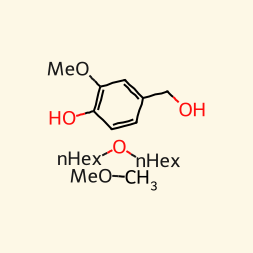 CCCCCCOCCCCCC.COC.COc1cc(CO)ccc1O